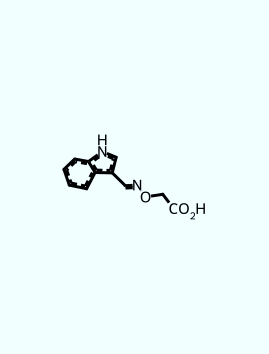 O=C(O)CON=Cc1c[nH]c2ccccc12